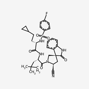 CC(C)(C)C[C@H](NC(=O)[C@H](CCC1CC1)NS(=O)(=O)c1ccc(F)cc1)C(=O)N1C[C@]2(C[C@H]1C#N)C(=O)Nc1ccccc12